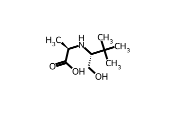 C[C@@H](N[C@@H](CO)C(C)(C)C)C(=O)O